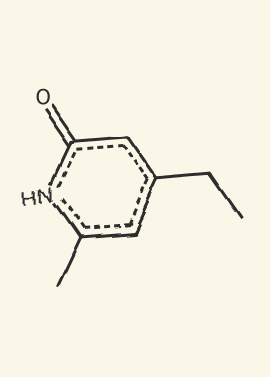 CCc1cc(C)[nH]c(=O)c1